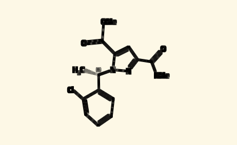 CNC(=O)c1cc(C(=O)OC)n([C@@H](C)c2ccccc2Cl)n1